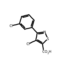 O=C(O)c1snc(-c2cccc(Cl)c2)c1Cl